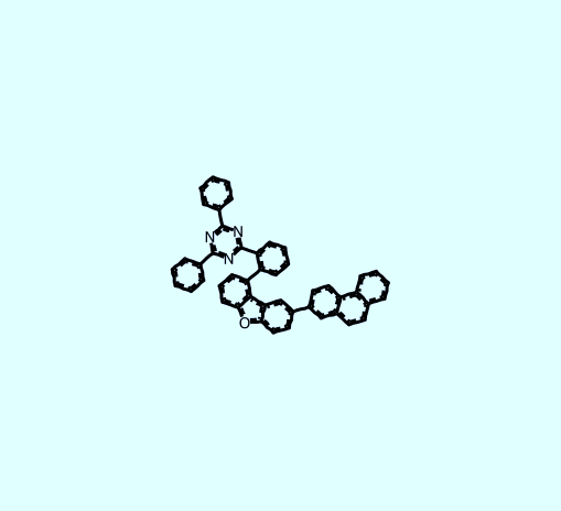 c1ccc(-c2nc(-c3ccccc3)nc(-c3ccccc3-c3cccc4oc5ccc(-c6ccc7c(ccc8ccccc87)c6)cc5c34)n2)cc1